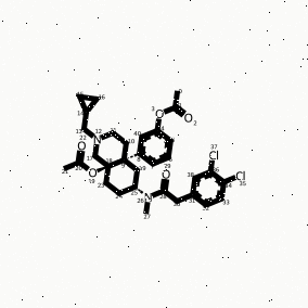 CC(=O)Oc1cccc([C@@]23CCN(CC4CC4)C[C@@]2(OC(C)=O)CC[C@@H](N(C)C(=O)Cc2ccc(Cl)c(Cl)c2)C3)c1